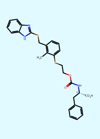 Cc1c(CSc2nc3ccccc3[nH]2)cccc1SCCOC(=O)N[C@@H](Cc1ccccc1)C(=O)O